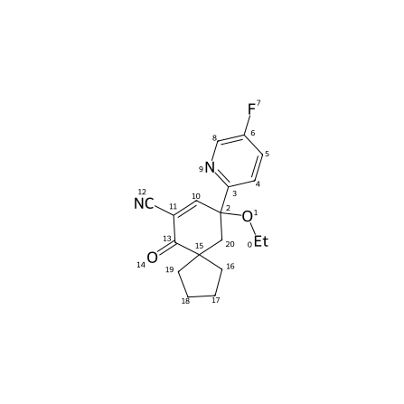 CCOC1(c2ccc(F)cn2)C=C(C#N)C(=O)C2(CCCC2)C1